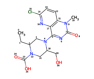 CCC1CN(c2nc(=O)n(C)c3ccc(Cl)nc23)C(CO)CN1C(=O)O